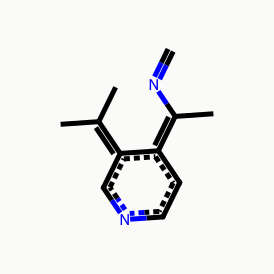 C=N/C(C)=c1/ccncc1=C(C)C